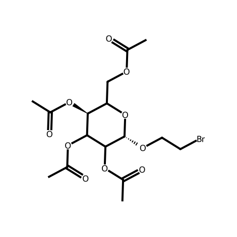 CC(=O)OCC1O[C@H](OCCBr)C(OC(C)=O)C(OC(C)=O)[C@H]1OC(C)=O